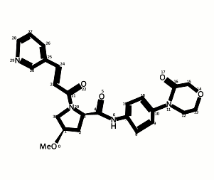 CO[C@@H]1C[C@H](C(=O)Nc2ccc(N3CCOCC3=O)cc2)N(C(=O)C=Cc2cccnc2)C1